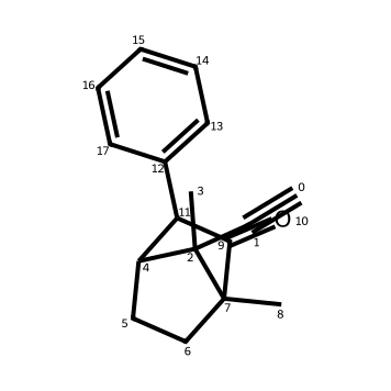 C#CC1(C)C2CCC1(C)C(=O)C2c1ccccc1